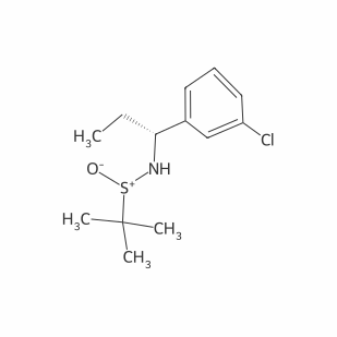 CC[C@@H](N[S+]([O-])C(C)(C)C)c1cccc(Cl)c1